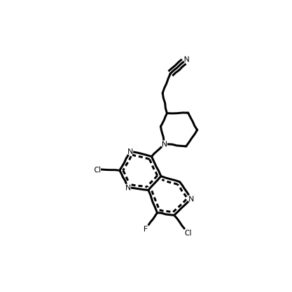 N#CCC1CCCN(c2nc(Cl)nc3c(F)c(Cl)ncc23)C1